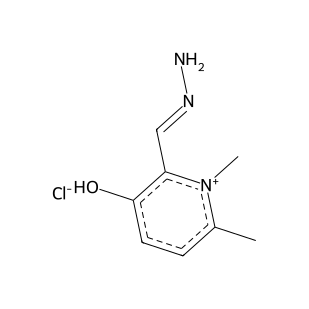 Cc1ccc(O)c(C=NN)[n+]1C.[Cl-]